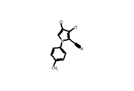 Cc1ccc(-n2cc(Cl)c(Cl)c2C#N)cc1